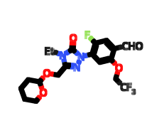 CCn1c(COC2CCCCO2)nn(-c2cc(OCC(F)(F)F)c(C=O)cc2F)c1=O